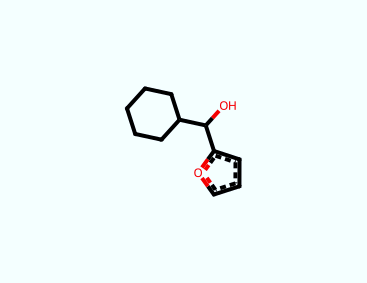 OC(c1ccco1)C1CCCCC1